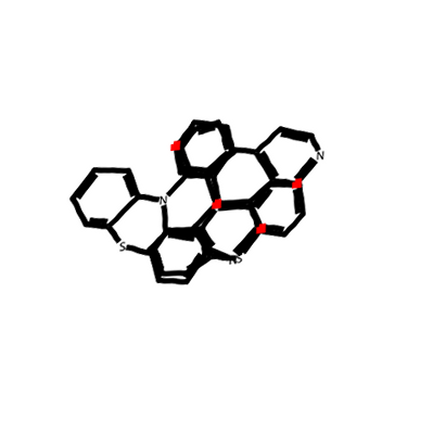 c1ccc2c(c1)Sc1ccccc1N2c1ccccc1-c1ccncc1-c1cnccc1-c1ccccc1N1c2ccccc2Sc2ccccc21